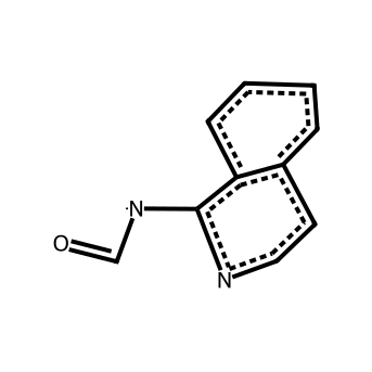 O=C[N]c1nccc2ccccc12